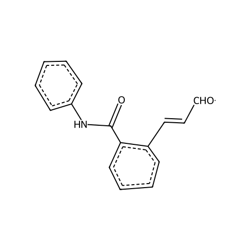 O=[C]/C=C/c1ccccc1C(=O)Nc1ccccc1